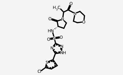 CC(C(=O)N1CCOCC1)N1CC[C@H](NS(=O)(=O)c2n[nH]c(-c3ccc(Cl)s3)n2)C1=O